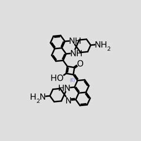 NC1CCC2(CC1)N=c1cccc3cc/c(=C4\C(=O)C(c5ccc6cccc7c6c5NC5(CCC(N)CC5)N7)=C4O)c(c13)N2